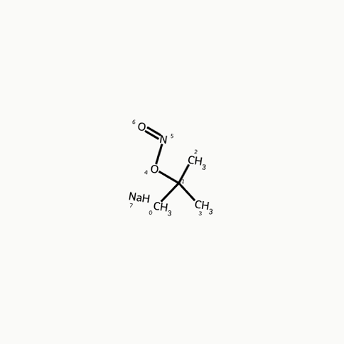 CC(C)(C)ON=O.[NaH]